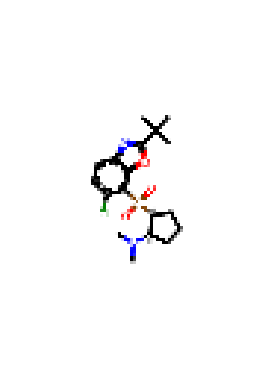 CN(C)[C@@H]1CCC[C@@H]1S(=O)(=O)c1c(Cl)ccc2nc(C(C)(C)C)oc12